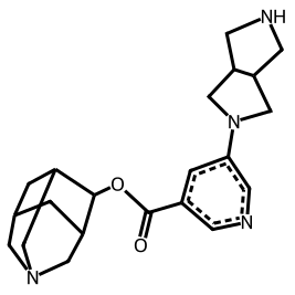 O=C(OC1C2CC3CC1CN(C3)C2)c1cncc(N2CC3CNCC3C2)c1